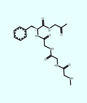 CNCC(=O)NCC(=O)NCC(=O)N[C@@H](Cc1ccccc1)C(=O)NCC(C)=O